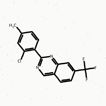 Cc1ccc(-c2ncc3ccc(C(F)(F)F)cc3n2)c(Cl)c1